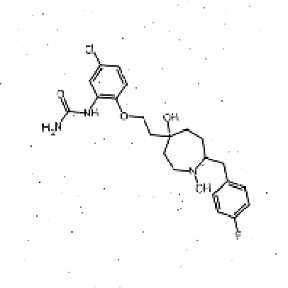 NC(=O)Nc1cc(Cl)ccc1OCCC1(O)CCC(Cc2ccc(F)cc2)N(O)CC1